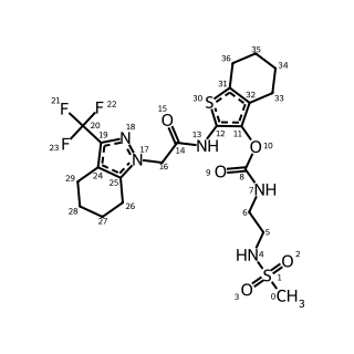 CS(=O)(=O)NCCNC(=O)Oc1c(NC(=O)Cn2nc(C(F)(F)F)c3c2CCCC3)sc2c1CCCC2